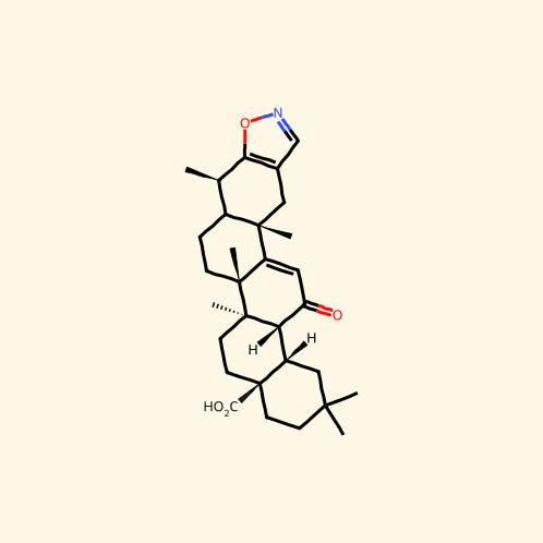 C[C@H]1c2oncc2C[C@]2(C)C3=CC(=O)[C@@H]4[C@@H]5CC(C)(C)CC[C@]5(C(=O)O)CC[C@@]4(C)[C@]3(C)CCC12